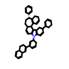 C1=CCCC(C2C=Cc3c(c4c(n3C3C=C(C5=CC6C=CC=CC6CC5)C=CC3)C=CC3CC[C@H](c5ccccc5)C5=C(C=CCC5)C43)C2)=C1